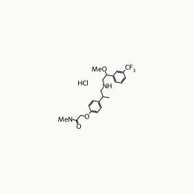 CNC(=O)COc1ccc(C(C)CNCC(OC)c2cccc(C(F)(F)F)c2)cc1.Cl